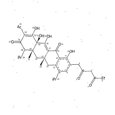 CCC(=O)CC(=O)Cc1cc(C(C)C)c2c(c1O)C(=O)C1=C(O)[C@@]3(O)C(O)=C(C(C)=O)C(=O)C(C(C)C)[C@@]3(C)C[C@@]1(C)C2